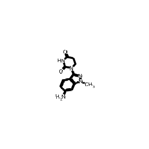 Cn1nc(N2CCC(=O)NC2=O)c2ccc(N)cc21